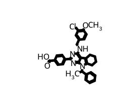 COc1ccc(CNc2nc(-c3ccc(C(=O)O)cc3)nc3c2c2c(n3C(C)c3ccccc3)CCCC2)cc1Cl